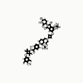 [2H]C([2H])([2H])OCCN(CC1CCN(c2ccc(C(=O)NC3C(C)(C)C(Oc4cc(C)c(C#N)c(C)c4)C3(C)C)cc2)CC1)C1CC(Oc2cc(OC([2H])([2H])[2H])c3c(c2)C(=O)N([C@@H]2CCC(=O)NC2=O)C3=O)C1